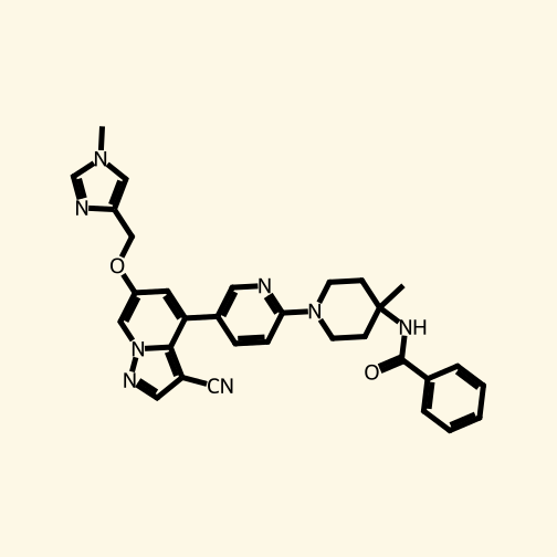 Cn1cnc(COc2cc(-c3ccc(N4CCC(C)(NC(=O)c5ccccc5)CC4)nc3)c3c(C#N)cnn3c2)c1